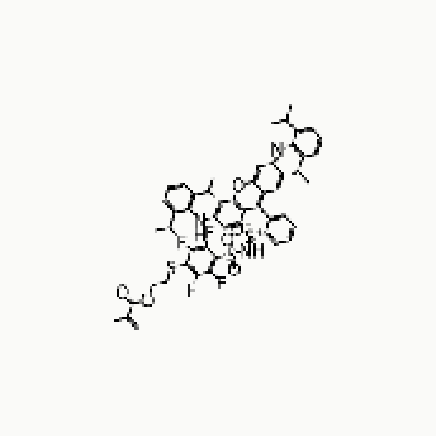 C=C(C)C(=O)OCCSc1c(F)c(F)c(S(=O)(=O)N[S+]([O-])c2ccccc2-c2c3cc/c(=N\c4c(C(C)C)cccc4C(C)C)cc-3oc3cc(Nc4c(C(C)C)cccc4C(C)C)ccc23)c(F)c1F